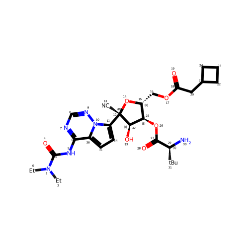 CCN(CC)C(=O)Nc1ncnn2c([C@]3(C#N)O[C@H](COC(=O)CC4CCC4)[C@@H](OC(=O)[C@@H](N)C(C)(C)C)[C@H]3O)ccc12